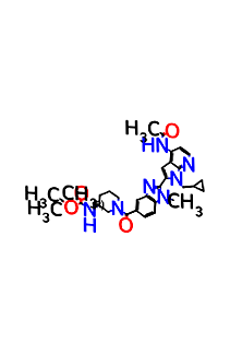 CC(=O)Nc1ccnc2c1cc(-c1nc3cc(C(=O)N4CCC[C@@H](NC(=O)OC(C)(C)C)C4)ccc3n1C)n2CC1CC1